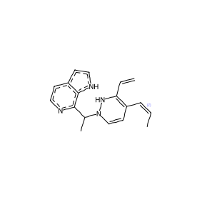 C=CC1=C(/C=C\C)C=CN(C(C)c2nccc3cc[nH]c23)N1